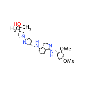 COc1ccc(CNc2nccc3c(NCc4ccc(N5CCC(C(C)(C)O)C5)nc4)cccc23)c(OC)c1